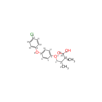 CC(COc1ccc(Oc2ccc(Cl)cc2)cc1)C(C)C(=O)O